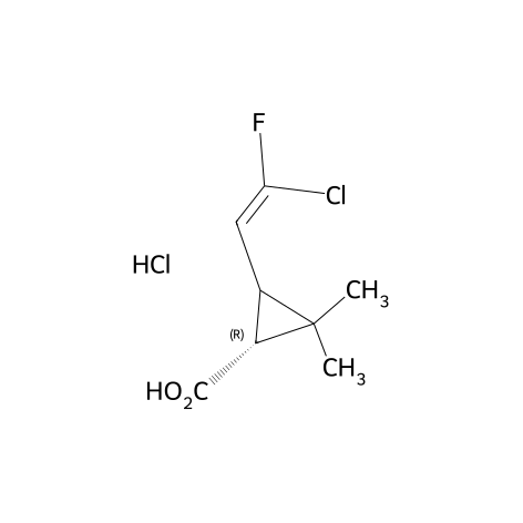 CC1(C)C(C=C(F)Cl)[C@H]1C(=O)O.Cl